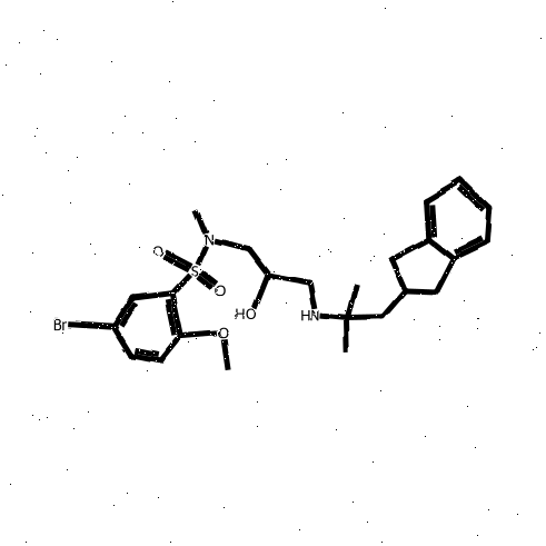 COc1ccc(Br)cc1S(=O)(=O)N(C)CC(O)CNC(C)(C)CC1Cc2ccccc2C1